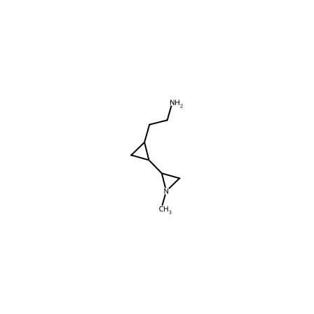 CN1CC1C1CC1CCN